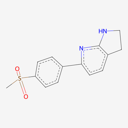 CS(=O)(=O)c1ccc(-c2ccc3c(n2)NCC3)cc1